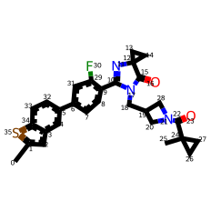 Cc1cc2cc(-c3ccc(C4=NC5(CC5)C(=O)N4CC4CN(C(=O)C5(C)CC5)C4)c(F)c3)ccc2s1